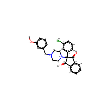 COc1cccc(CN2CCN(C3(c4cccc(Br)c4)C(=O)c4ccccc4C3=O)CC2)c1